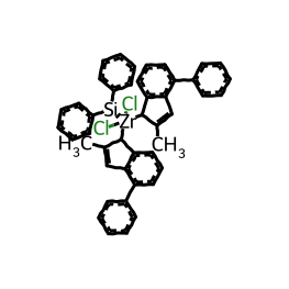 CC1=Cc2c(-c3ccccc3)cccc2[CH]1[Zr]([Cl])([Cl])([CH]1C(C)=Cc2c(-c3ccccc3)cccc21)=[Si](c1ccccc1)c1ccccc1